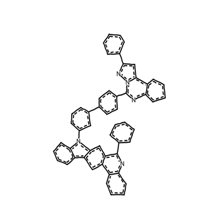 c1ccc(-c2cc3c4ccccc4nc(-c4ccc(-c5cccc(-n6c7ccccc7c7cc8c(cc76)c(-c6ccccc6)nc6ccccc68)c5)cc4)n3n2)cc1